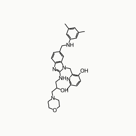 Cc1cc(C)cc(NCc2ccc3nc(NCC(O)CN4CCOCC4)n(Cc4nc(C)ccc4O)c3c2)c1